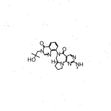 CNc1ncc2c(n1)N1CCC[C@H]1CN(c1cccc3c(=O)n(CC(C)(C)O)cnc13)C2=O